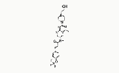 Cc1nc(N2CCN(CCO)CC2)nc2ncc(NC(=O)C=Cc3ccc(OC(F)(F)F)cc3)cc12